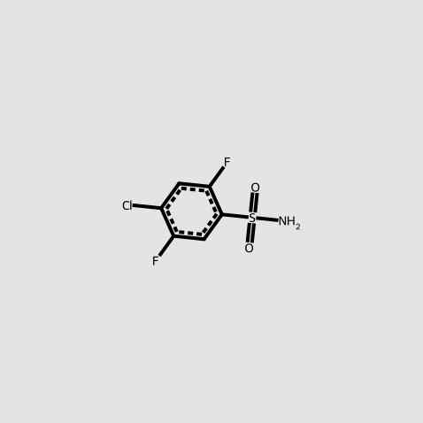 NS(=O)(=O)c1cc(F)c(Cl)cc1F